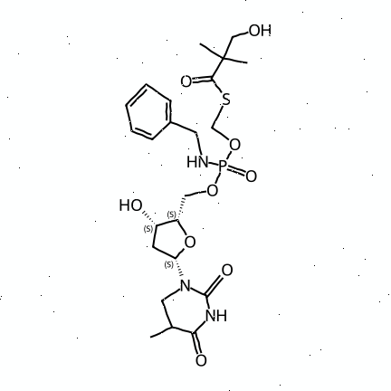 CC1CN([C@@H]2C[C@H](O)[C@H](COP(=O)(NCc3ccccc3)OCSC(=O)C(C)(C)CO)O2)C(=O)NC1=O